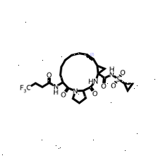 O=C(CCC(F)(F)F)NC1CCCCC/C=C\C2CC2(C(=O)NS(=O)(=O)C2CC2)NC(=O)C2CCCN2C1=O